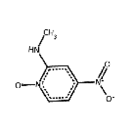 CNc1cc([N+](=O)[O-])cc[n+]1[O-]